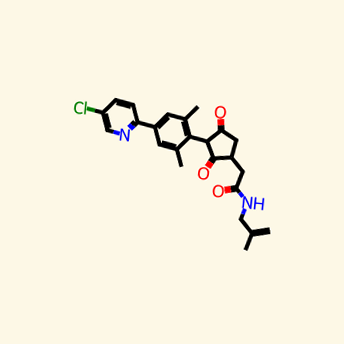 C=C(C)CNC(=O)CC1CC(=O)C(c2c(C)cc(-c3ccc(Cl)cn3)cc2C)C1=O